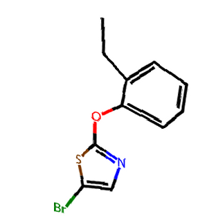 CCc1ccccc1Oc1ncc(Br)s1